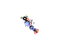 Cc1c([C@H](NC(=O)Nc2cnc(N3CC(S(C)(=O)=O)C3)nc2)C(F)(F)F)oc2c(F)cc(F)cc12